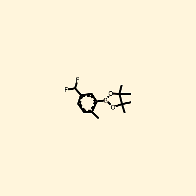 Cc1ccc(C(F)F)cc1B1OC(C)(C)C(C)(C)O1